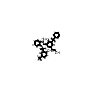 CC(C)(c1ccccc1)c1cc(CCO)cc(N2Nc3ccccc3N2C(C)(C)c2cc(C(F)(F)F)ccc2O)c1O